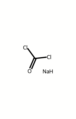 O=C(Cl)Cl.[NaH]